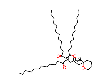 CCCCCCCCCCCC(=O)[Si](CCCC1([SiH3])CCCCO1)(C(=O)CCCCCCCCCCC)C(=O)CCCCCCCCCCC